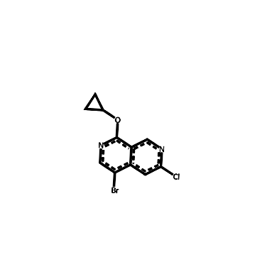 Clc1cc2c(Br)cnc(OC3CC3)c2cn1